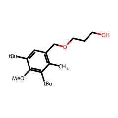 COc1c(C(C)(C)C)cc(COCCCO)c(C)c1C(C)(C)C